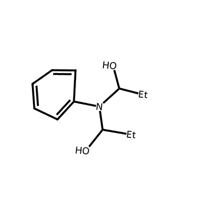 CCC(O)N(c1ccccc1)C(O)CC